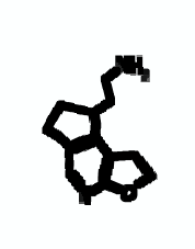 NCCC1CCc2cnc3c(c21)CCO3